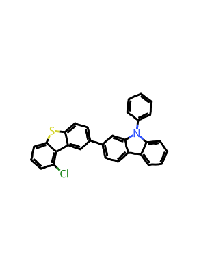 Clc1cccc2sc3ccc(-c4ccc5c6ccccc6n(-c6ccccc6)c5c4)cc3c12